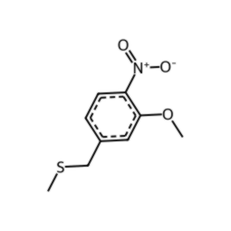 COc1cc(CSC)ccc1[N+](=O)[O-]